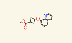 COC(=O)C1CC(Oc2cccc3cccnc23)C1